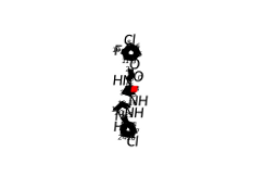 O=C(COc1ccc(Cl)c(F)c1)NC12CC(NC3CCNC(c4ccc(Cl)cc4)N3)(C1)C2